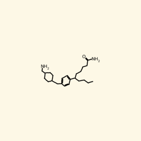 CCCCC(CCCCC(N)=O)c1ccc(CC2CCC(CN)CC2)cc1